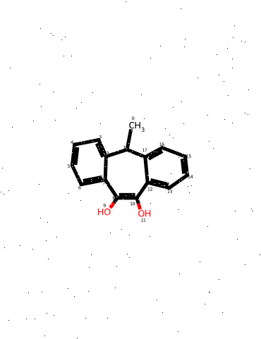 CC1c2ccccc2C(O)=C(O)c2ccccc21